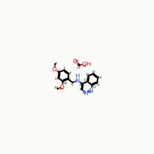 COc1ccc(CNc2cnnc3ccccc23)c(OC)c1.O=CO